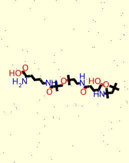 CC(C)(C)CC(C)(C)NC(CCC(=O)NCCC(C)(C)OCC(C)(C)C(=O)NCCCCC(N)C(=O)O)C(=O)O